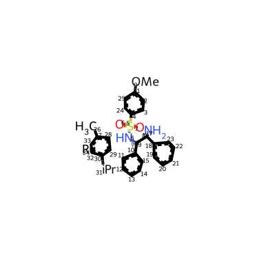 COc1ccc(S(=O)(=O)N[C@H](c2ccccc2)[C@H](N)c2ccccc2)cc1.Cc1ccc(C(C)C)cc1.[Ru]